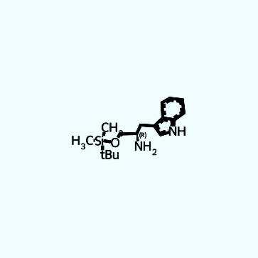 CC(C)(C)[Si](C)(C)OC[C@H](N)Cc1c[nH]c2ccccc12